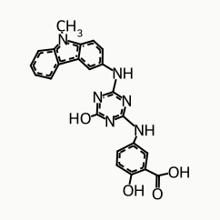 Cn1c2ccccc2c2cc(Nc3nc(O)nc(Nc4ccc(O)c(C(=O)O)c4)n3)ccc21